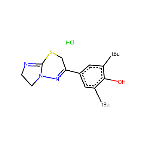 CC(C)(C)c1cc(C2=NN3CCN=C3SC2)cc(C(C)(C)C)c1O.Cl